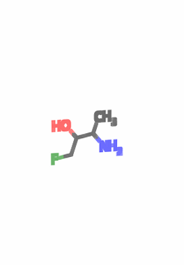 CC(N)C(O)CF